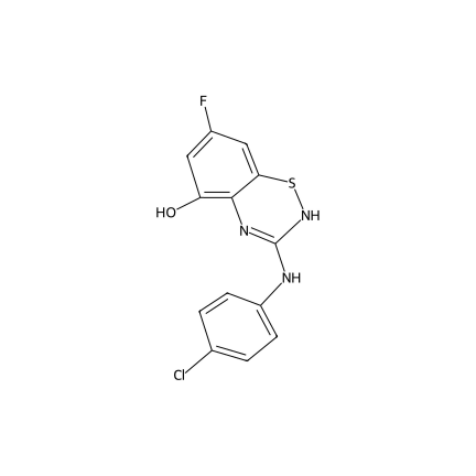 Oc1cc(F)cc2c1N=C(Nc1ccc(Cl)cc1)NS2